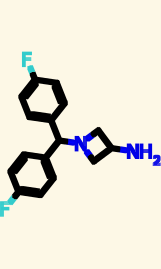 NC1CN(C(c2ccc(F)cc2)c2ccc(F)cc2)C1